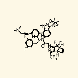 CN(C)CC#Cc1ccc(-c2cccc3c(NS(C)(=O)=O)nn(C)c23)c([C@H](Cc2cc(F)cc(F)c2)NC(=O)Cn2nc(C(F)(F)F)c3c2C(F)(F)[C@@H]2C#C[C@H]32)n1